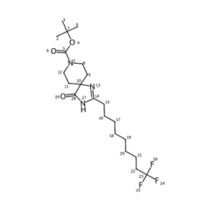 CC(C)(C)OC(=O)N1CCC2(CC1)N=C(CCCCCCCCC(F)(F)F)NC2=O